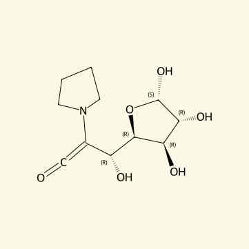 O=C=C([C@@H](O)[C@H]1O[C@H](O)[C@H](O)[C@H]1O)N1CCCC1